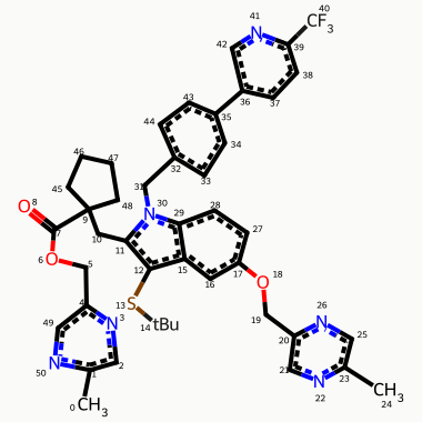 Cc1cnc(COC(=O)C2(Cc3c(SC(C)(C)C)c4cc(OCc5cnc(C)cn5)ccc4n3Cc3ccc(-c4ccc(C(F)(F)F)nc4)cc3)CCCC2)cn1